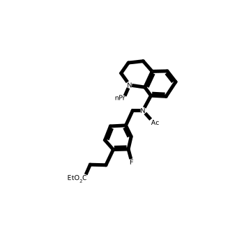 CCCN1CCCc2cccc(N(Cc3ccc(CCC(=O)OCC)c(F)c3)C(C)=O)c21